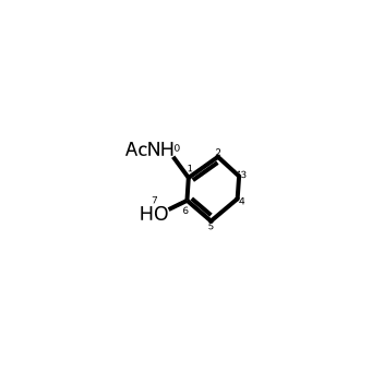 CC(=O)NC1=C[CH]CC=C1O